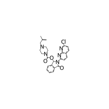 C=C(C)CN1CCN(C(=O)OC2c3ccccc3C(=O)N2c2ccc3ccc(Cl)nc3n2)CC1